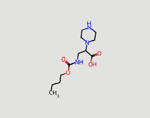 CCCCOC(=O)NCC(C(=O)O)N1CCNCC1